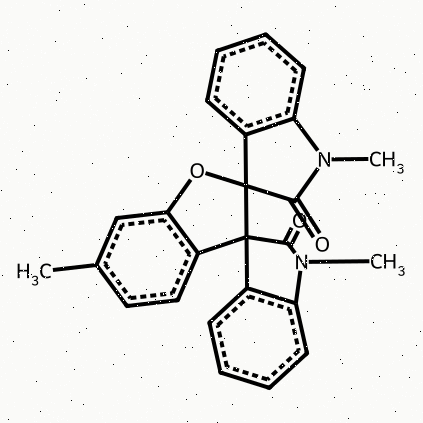 Cc1ccc2c(c1)OC1(C(=O)N(C)c3ccccc31)C21C(=O)N(C)c2ccccc21